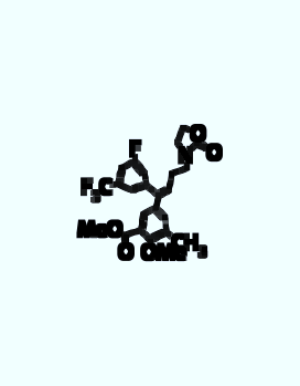 COC(=O)c1cc(C(=CCCN2CCOC2=O)c2cc(F)cc(C(F)(F)F)c2)cc(C)c1OC